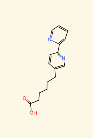 O=C(O)CCCCCc1ccc(-c2ccccn2)nc1